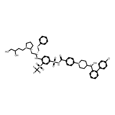 O=C(NS(=O)(=O)c1ccc(N[C@@H](CSc2ccccc2)C[C@@H]2CCCN2CCC(O)CO)c(S(=O)(=O)C(F)(F)F)c1)c1ccc(N2CCC([C@@H](O)c3ccccc3-c3ccc(Cl)cc3)CC2)cc1